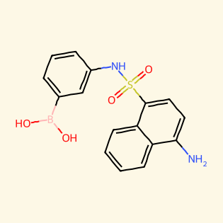 Nc1ccc(S(=O)(=O)Nc2cccc(B(O)O)c2)c2ccccc12